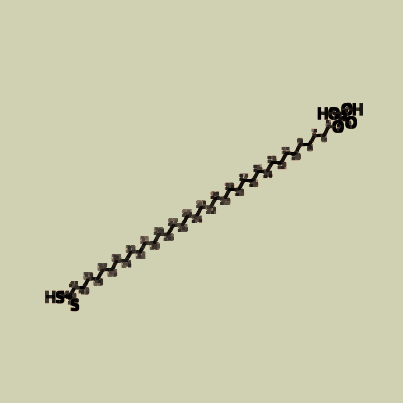 O=P(O)(O)OCCCCCCCCCCCCCCCCCCCCCCCCCCCCCCCCCCCCCC(=S)S